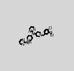 CCOc1cc(CN2CCC(N(c3ncccn3)C3CCN(Nc4ncccn4)CC3)CC2)ccc1Cl